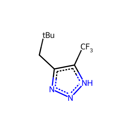 CC(C)(C)Cc1nn[nH]c1C(F)(F)F